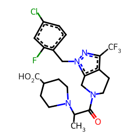 CC(C(=O)N1CCc2c(C(F)(F)F)nn(Cc3ccc(Cl)cc3F)c2C1)N1CCC(C(=O)O)CC1